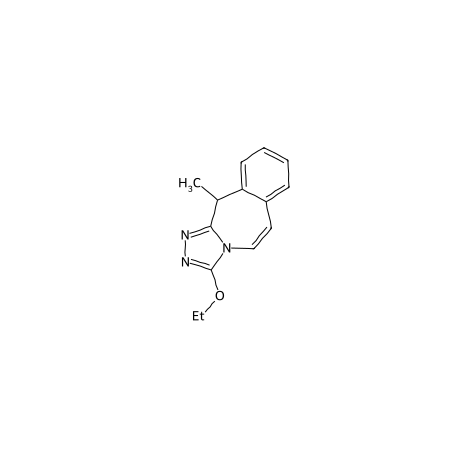 CCOc1nnc2n1C=Cc1ccccc1C2C